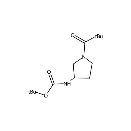 CC(C)(C)OC(=O)N[C@H]1CCN(C(=O)C(C)(C)C)C1